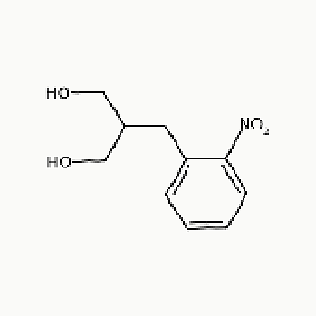 O=[N+]([O-])c1ccccc1CC(CO)CO